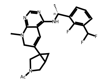 CC(=O)N1CC2CC2(C2=Cc3c(N[C@H](C)c4cccc(C(F)F)c4F)ncnc3N(C)C2)C1